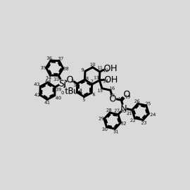 CC(C)(C)[Si](Oc1cccc2c1CCC(O)C2(O)CCOC(=O)N(c1ccccc1)c1ccccc1)(c1ccccc1)c1ccccc1